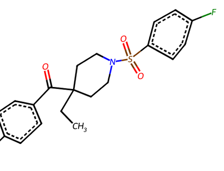 CCC1(C(=O)c2ccc(F)cc2)CCN(S(=O)(=O)c2ccc(F)cc2)CC1